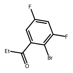 CCC(=O)c1cc(F)cc(F)c1Br